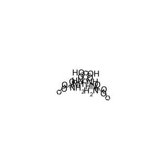 N[C@@H](CCC(=O)OCc1ccccc1)C(=O)NCCNc1ccc(NCCNC(=O)[C@@H](N)CCC(=O)OCc2ccccc2)c2c1C(=O)c1c(O)ccc(O)c1C2=O